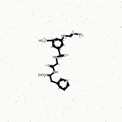 CCOC(=O)C(Cc1cccnc1)NC(=O)CNC(=O)c1cc(NC=NN)cc(C(=O)O)c1